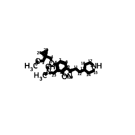 COCC1(COc2ccc3c(CCC4CCNCC4)noc3c2CN(C)C)CC1